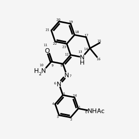 CC(=O)Nc1cccc(/N=N/C(C(N)=O)=C2\NC(C)(C)Cc3ccccc32)c1